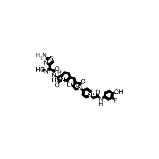 Nc1nc(C(=NO)C(=O)N[C@@H]2C(=O)N3C(C(=O)[O-])=C(C=C4CCN(c5cc[n+](CC(=O)Nc6ccc(O)c(F)c6)cc5)C4=O)CC[C@H]23)cs1